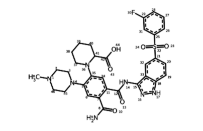 CN1CCN(c2cc(C(N)=O)c(C(=O)Nc3n[nH]c4ccc(S(=O)(=O)c5cccc(F)c5)cc34)cc2N2CCCCC2C(=O)O)CC1